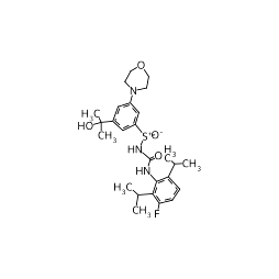 CC(C)c1ccc(F)c(C(C)C)c1NC(=O)N[S+]([O-])c1cc(N2CCOCC2)cc(C(C)(C)O)c1